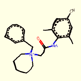 Cc1cc(C#N)cc(C)c1NC(=O)C[N+]1(Cc2ccccc2)CCCCC1